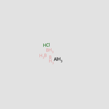 B.B.B.Cl.[AlH3]